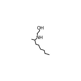 CCCCCCC(C)NCCO